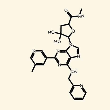 CNC(=O)C1CC(O)(O)C(n2cnc3c(NCc4ccccn4)nc(-c4cncc(C)c4)nc32)O1